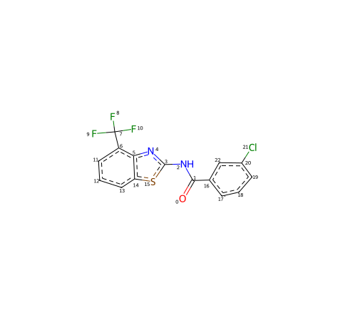 O=C(Nc1nc2c(C(F)(F)F)cccc2s1)c1[c]ccc(Cl)c1